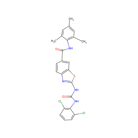 Cc1cc(C)c(NC(=O)c2ccc3nc(NC(=O)Nc4c(Cl)cccc4Cl)sc3c2)c(C)c1